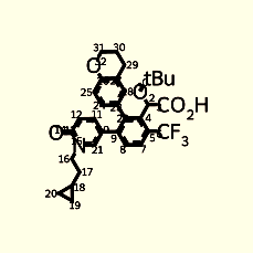 CC(C)(C)OC(C(=O)O)c1c(C(F)(F)F)ccc(-c2ccc(=O)n(CCC3CC3)c2)c1-c1ccc2c(c1)CCCO2